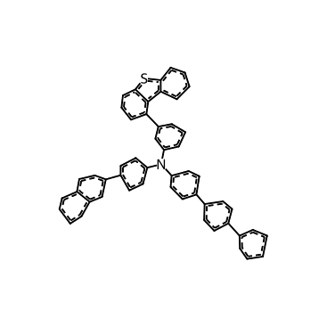 c1ccc(-c2ccc(-c3ccc(N(c4ccc(-c5ccc6ccccc6c5)cc4)c4cccc(-c5cccc6sc7ccccc7c56)c4)cc3)cc2)cc1